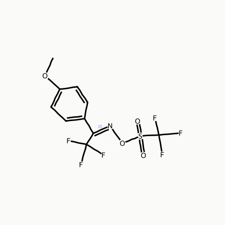 COc1ccc(/C(=N/OS(=O)(=O)C(F)(F)F)C(F)(F)F)cc1